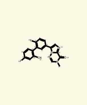 Cn1cnn2c(-c3ccc(F)c(-c4ccc(F)cc4C#N)c3)cnc2c1=O